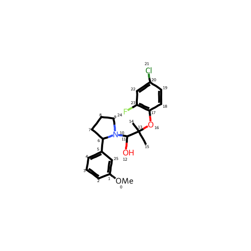 COc1cccc(C2CCCN2C(O)C(C)(C)Oc2ccc(Cl)cc2F)c1